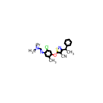 Cc1cc(N=CN(C)C(C)C)c(Cl)cc1Oc1snc(C(C)c2ccccc2)c1C#N